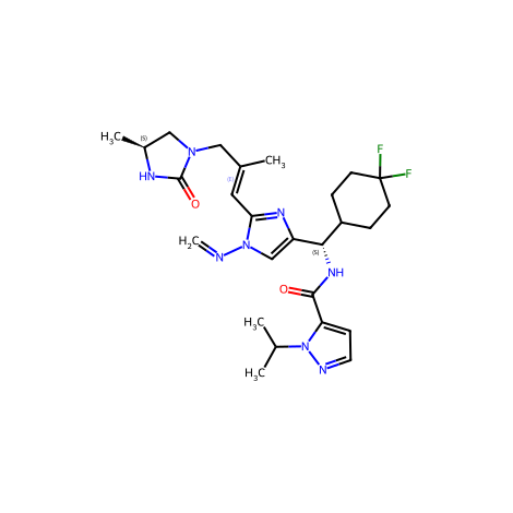 C=Nn1cc([C@@H](NC(=O)c2ccnn2C(C)C)C2CCC(F)(F)CC2)nc1/C=C(\C)CN1C[C@H](C)NC1=O